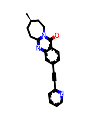 C[C@@H]1CCc2nc3cc(C#Cc4ccccn4)ccc3c(=O)n2CC1